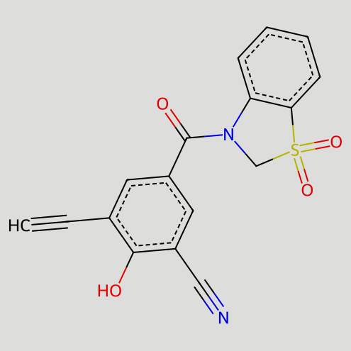 C#Cc1cc(C(=O)N2CS(=O)(=O)c3ccccc32)cc(C#N)c1O